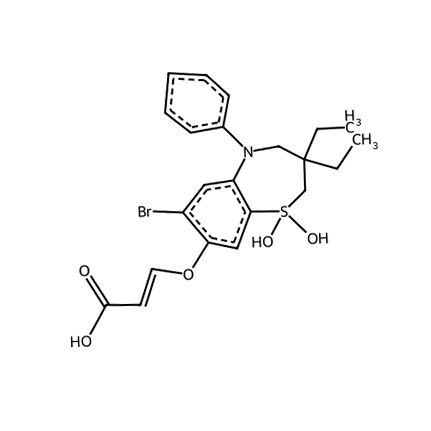 CCC1(CC)CN(c2ccccc2)c2cc(Br)c(OC=CC(=O)O)cc2S(O)(O)C1